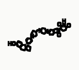 O=C1CC[C@@H](N2Cc3cc(N4CCN(CC5CCN(c6ccc([C@H]7c8ccc(O)cc8CCC78CCCC8)cc6)CC5)CC4)ccc3C2=O)C(=O)N1